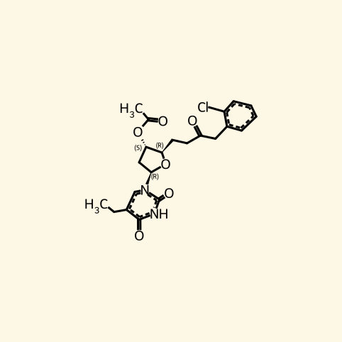 CCc1cn([C@H]2C[C@H](OC(C)=O)[C@@H](CCC(=O)Cc3ccccc3Cl)O2)c(=O)[nH]c1=O